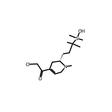 CN1CC=C(C(=O)CCl)C[C@@H]1CCC(C)(C)[Si](C)(C)O